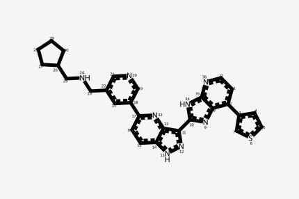 c1cc(-c2ccsc2)c2nc(-c3n[nH]c4ccc(-c5cncc(CNCC6CCCC6)c5)nc34)[nH]c2n1